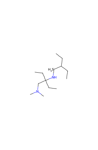 CCC(CC)[SiH2]NC(CC)(CC)CN(C)C